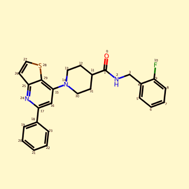 O=C(NCc1ccccc1F)C1CCN(c2cc(-c3ccccc3)nc3ccsc23)CC1